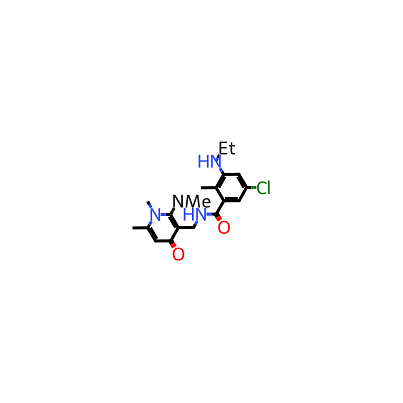 CCNc1cc(Cl)cc(C(=O)NCc2c(NC)n(C)c(C)cc2=O)c1C